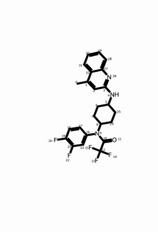 Cc1cc(NC2CCC(N(C(=O)C(F)(F)F)c3ccc(F)c(F)c3)CC2)nc2ccccc12